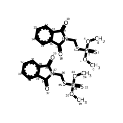 COP(=S)(OC)SCN1C(=O)c2ccccc2C1=O.COP(=S)(OC)SCN1C(=O)c2ccccc2C1=O